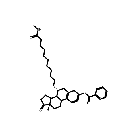 CNC(=O)CCCCCCCCCC[C@@H]1CC2=C(C=C=C(OC(=O)c3ccccc3)C2)C2CC[C@]3(C)C(=O)CCC3C21